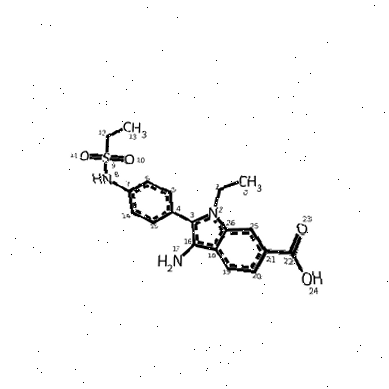 CCn1c(-c2ccc(NS(=O)(=O)CC)cc2)c(N)c2ccc(C(=O)O)cc21